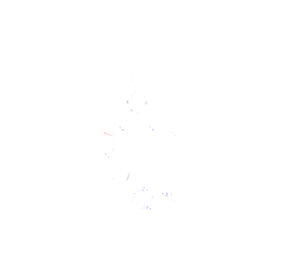 Nc1nccc(C2=CC3SC(C(=O)N(CCN4CCOCC4)Cc4cccc(F)c4)=NC3C=C2)n1